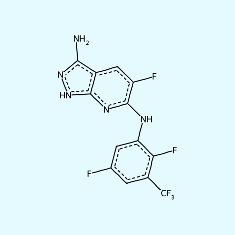 Nc1n[nH]c2nc(Nc3cc(F)cc(C(F)(F)F)c3F)c(F)cc12